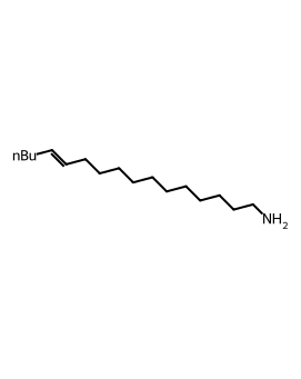 CCCCC=CCCCCCCCCCCCN